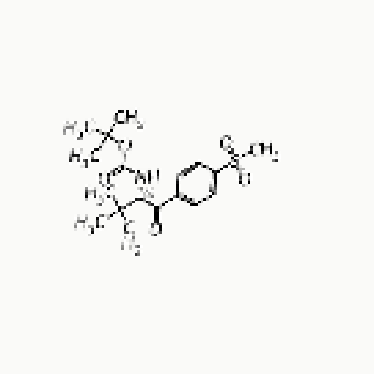 CC(C)(C)OC(=O)N[C@H](C(=O)c1ccc(S(C)(=O)=O)cc1)C(C)(C)C